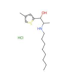 CCCCCCCCNC(C)C(O)c1cc(C)cs1.Cl